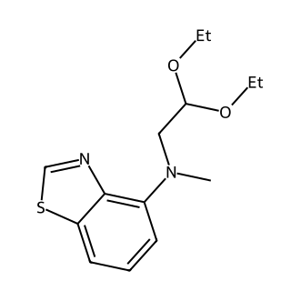 CCOC(CN(C)c1cccc2scnc12)OCC